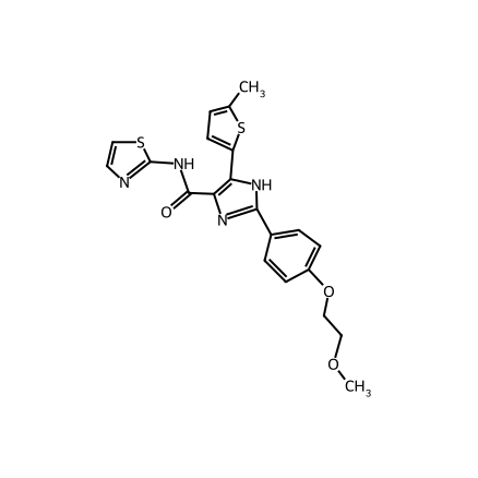 COCCOc1ccc(-c2nc(C(=O)Nc3nccs3)c(-c3ccc(C)s3)[nH]2)cc1